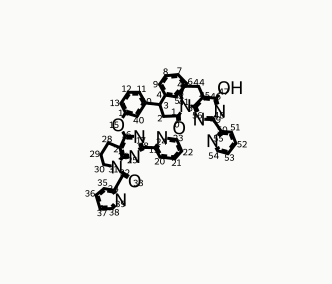 O=C(CC(c1ccccc1)c1cccc(Oc2nc(-c3ccccn3)nc3c2CCCN3C(=O)c2ccccn2)c1)N1CCCc2c(O)nc(-c3ccccn3)nc21